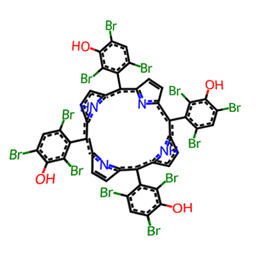 Oc1c(Br)cc(Br)c(-c2c3nc(c(-c4c(Br)cc(Br)c(O)c4Br)c4ccc([nH]4)c(-c4c(Br)cc(Br)c(O)c4Br)c4nc(c(-c5c(Br)cc(Br)c(O)c5Br)c5ccc2[nH]5)C=C4)C=C3)c1Br